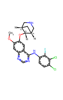 COc1cc2ncnc(Nc3ccc(Cl)c(Cl)c3F)c2cc1O[C@@H]1[C@@H]2CNC[C@H]1C2